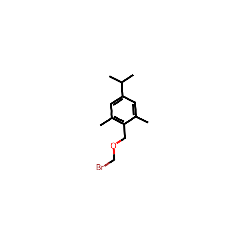 Cc1cc(C(C)C)cc(C)c1COCBr